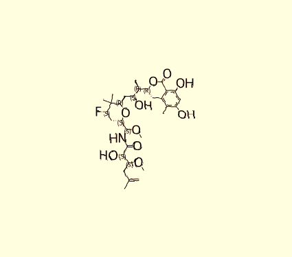 C=C(C)C[C@H](OC)[C@H](O)C(=O)N[C@@H](OC)[C@@H]1C[C@H](F)C(C)(C)[C@@H](C[C@H](O)[C@@H](C)[C@H]2Cc3c(C)c(O)cc(O)c3C(=O)O2)O1